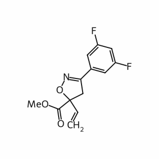 C=CC1(C(=O)OC)CC(c2cc(F)cc(F)c2)=NO1